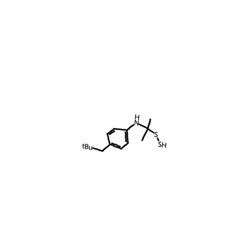 CC(C)(C)Cc1ccc(NC(C)(C)SS)cc1